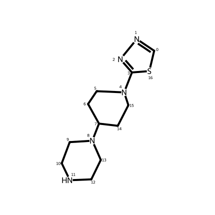 c1nnc(N2CCC(N3CCNCC3)CC2)s1